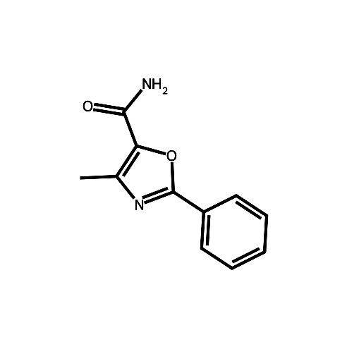 Cc1nc(-c2ccccc2)oc1C(N)=O